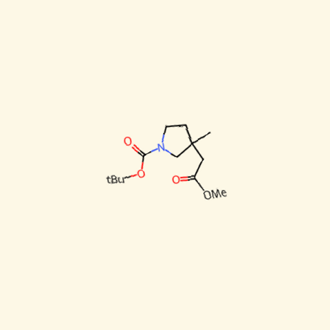 COC(=O)CC1(C)CCN(C(=O)OC(C)(C)C)C1